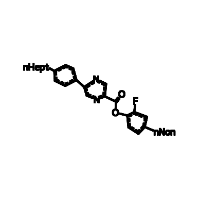 CCCCCCCCCc1ccc(OC(=O)c2cnc(-c3ccc(CCCCCCC)cc3)cn2)c(F)c1